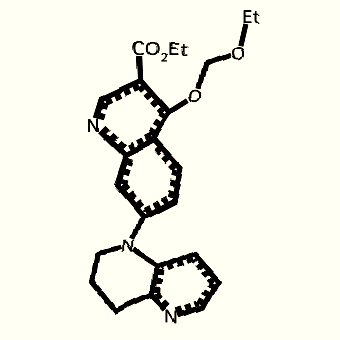 CCOCOc1c(C(=O)OCC)cnc2cc(N3CCCc4ncccc43)ccc12